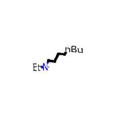 CCCCCCCC[N]CC